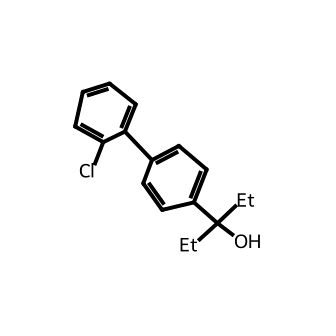 CCC(O)(CC)c1ccc(-c2ccccc2Cl)cc1